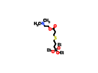 CCO[Si](CCCSCCC(=O)OCCN(C)C)(OCC)OCC